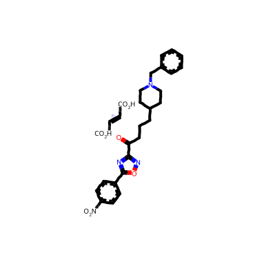 O=C(CCCC1CCN(Cc2ccccc2)CC1)c1noc(-c2ccc([N+](=O)[O-])cc2)n1.O=C(O)/C=C/C(=O)O